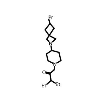 CCC(CC)C(=O)CN1CCC(N2CC3(CC(C(C)C)C3)C2)CC1